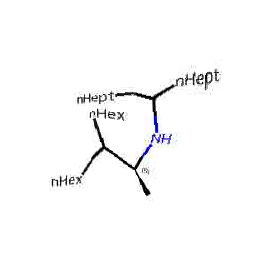 CCCCCCCC(CCCCCCC)N[C@@H](C)C(CCCCCC)CCCCCC